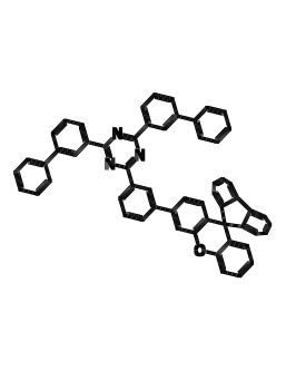 c1ccc(-c2cccc(-c3nc(-c4cccc(-c5ccccc5)c4)nc(-c4cccc(-c5ccc6c(c5)Oc5ccccc5C65c6ccccc6-c6ccccc65)c4)n3)c2)cc1